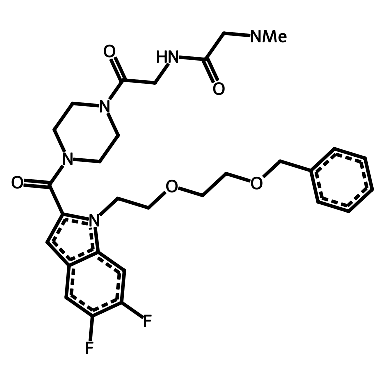 CNCC(=O)NCC(=O)N1CCN(C(=O)c2cc3cc(F)c(F)cc3n2CCOCCOCc2ccccc2)CC1